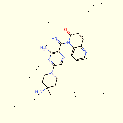 CC1(N)CCN(c2cnc(C(=N)N3C(=O)CCc4ncccc43)c(N)n2)CC1